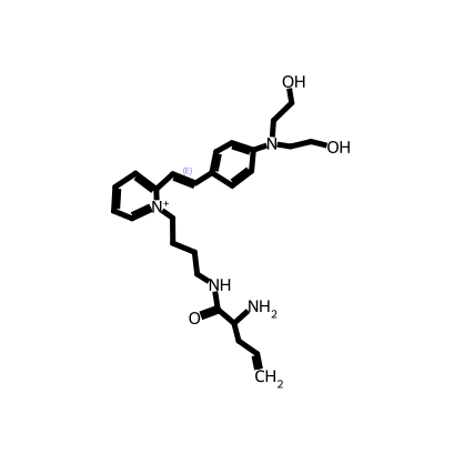 C=CCC(N)C(=O)NCCCC[n+]1ccccc1/C=C/c1ccc(N(CCO)CCO)cc1